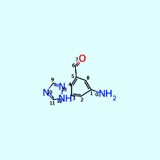 Nc1cccc(C=O)c1.c1nc[nH]n1